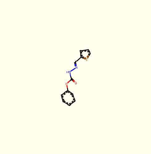 O=C(N/N=C/c1cccs1)Oc1ccccc1